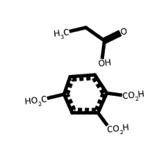 CCC(=O)O.O=C(O)c1ccc(C(=O)O)c(C(=O)O)c1